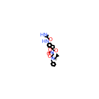 C[C@@H](C1CC1)N(Cc1ccccc1)C(=O)CN1C(=O)OC2(CCc3cc(NC(=O)C4CNC4)ccc32)C1=O